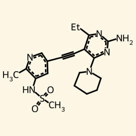 CCc1nc(N)nc(N2CCCCC2)c1C#Cc1cnc(C)c(NS(C)(=O)=O)c1